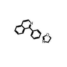 C1=NCCO1.c1ccc(-c2nccc3ccccc23)cc1